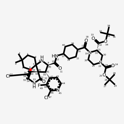 CC1(C)CCC2(CC1)N[C@@H](C(=O)NC1CCC(C(=O)N3CCN(C(=O)OC(C)(C)C)C[C@H]3C(=O)OC(C)(C)C)CC1)[C@H](c1ccnc(Cl)c1F)[C@]21C(=O)Nc2cc(Cl)ccc21